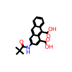 CC(C)(C)C(=O)Nc1cc(C(=O)O)c2c(C(=O)O)c3ccccc3cc2c1